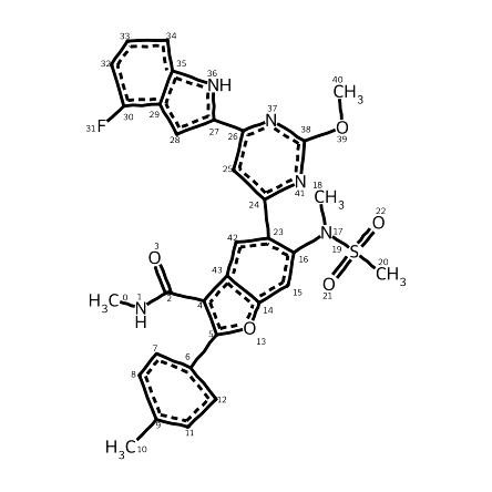 CNC(=O)c1c(-c2ccc(C)cc2)oc2cc(N(C)S(C)(=O)=O)c(-c3cc(-c4cc5c(F)cccc5[nH]4)nc(OC)n3)cc12